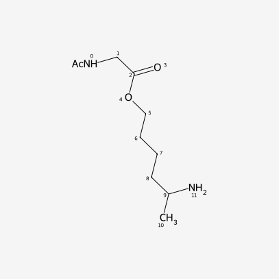 CC(=O)NCC(=O)OCCCCC(C)N